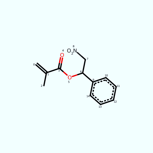 C=C(C)C(=O)OC(C[N+](=O)[O-])c1ccccc1